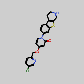 O=c1cc(OCc2ccc(Cl)cn2)ccn1-c1ccc2c3c(sc2c1)CNCC3